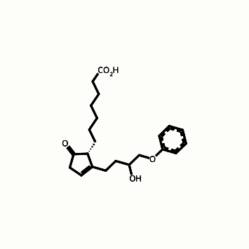 O=C(O)CCCCCC[C@H]1C(=O)CC=C1CCC(O)COc1ccccc1